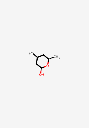 CC(C)C1C[C@@H](C)O[C@@H](O)C1